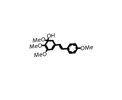 COC1=C(OC)C(O)(OC)CC(C=Cc2ccc(OC)cc2)=C1